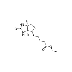 CCOC(=O)CCCC[C@@H]1SC[C@@H]2NC(=O)N[C@@H]21